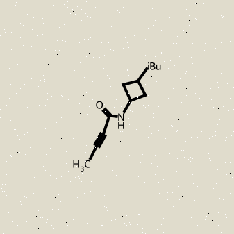 CC#CC(=O)NC1CC(C(C)CC)C1